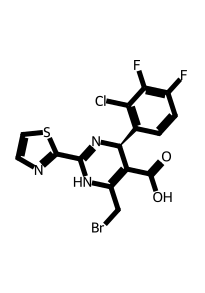 O=C(O)C1=C(CBr)NC(c2nccs2)=N[C@H]1c1ccc(F)c(F)c1Cl